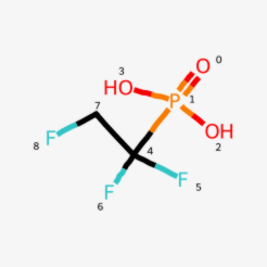 O=P(O)(O)C(F)(F)CF